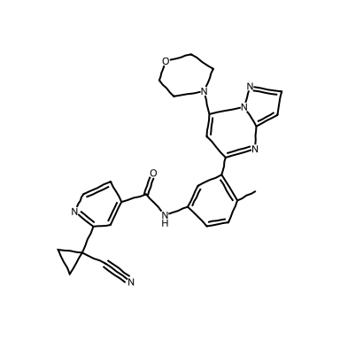 Cc1ccc(NC(=O)c2ccnc(C3(C#N)CC3)c2)cc1-c1cc(N2CCOCC2)n2nccc2n1